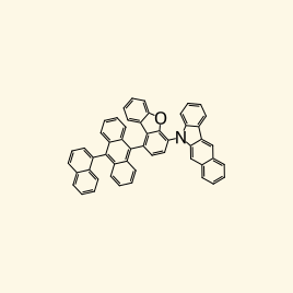 c1ccc2cc3c(cc2c1)c1ccccc1n3-c1ccc(-c2c3ccccc3c(-c3cccc4ccccc34)c3ccccc23)c2c1oc1ccccc12